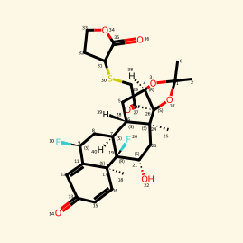 CC1(C)O[C@@H]2C[C@H]3[C@@H]4C[C@H](F)C5=CC(=O)C=C[C@]5(C)[C@@]4(F)[C@@H](O)C[C@]3(C)[C@]2(C(=O)CSC2CCOC2=O)O1